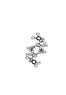 O=P1(S)OCC2OC(n3c(Cl)nc4cc(Cl)c(Cl)cc43)C(O)C2OP(=O)(S)OCC2OC(n3c(Cl)nc4cc(Cl)c(Cl)cc43)C(O)C2O1